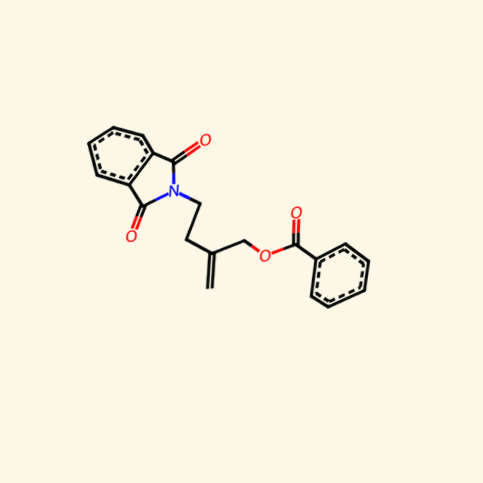 C=C(CCN1C(=O)c2ccccc2C1=O)COC(=O)c1ccccc1